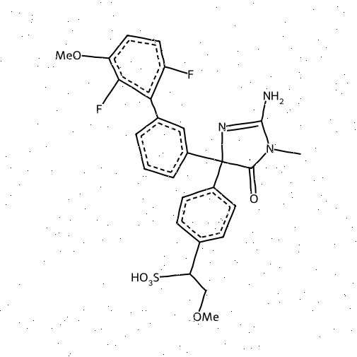 COCC(c1ccc(C2(c3cccc(-c4c(F)ccc(OC)c4F)c3)N=C(N)N(C)C2=O)cc1)S(=O)(=O)O